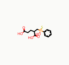 O=C(O)CCC(CP(O)(=S)c1ccccc1)C(=O)O